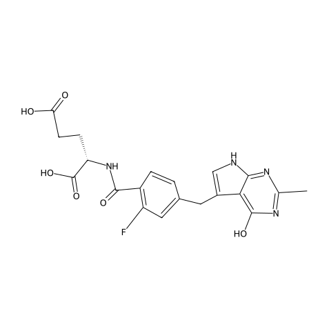 Cc1nc(O)c2c(Cc3ccc(C(=O)N[C@@H](CCC(=O)O)C(=O)O)c(F)c3)c[nH]c2n1